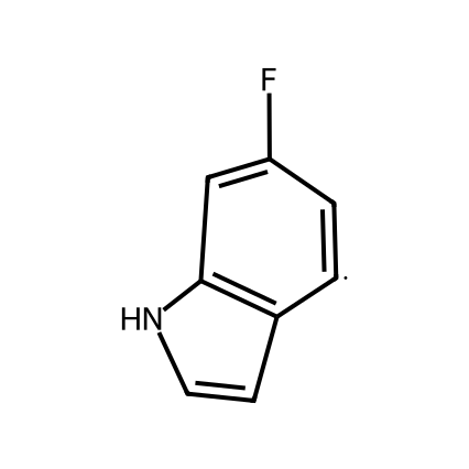 Fc1c[c]c2cc[nH]c2c1